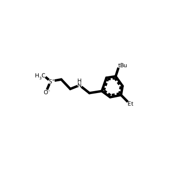 CCc1cc(CNCC[S+](C)[O-])cc(C(C)(C)C)c1